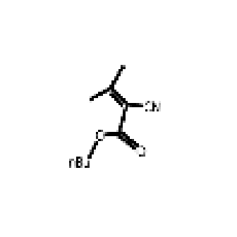 CCCCOC(=O)C(C#N)=C(C)C